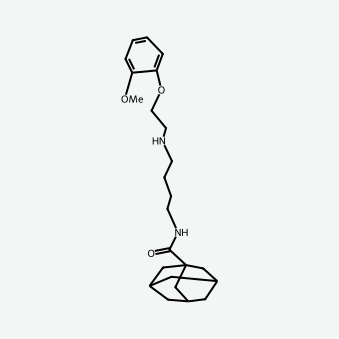 COc1ccccc1OCCNCCCCNC(=O)C12CC3CC(CC(C3)C1)C2